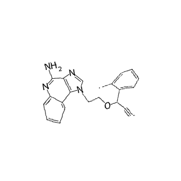 [C]#CC(OCCn1cnc2c(N)nc3ccccc3c21)c1ccccc1[CH2]